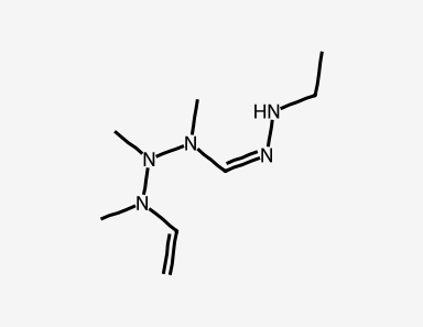 C=CN(C)N(C)N(C)/C=N\NCC